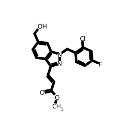 COC(=O)C=Cc1nn(Cc2ccc(F)cc2Cl)c2cc(CO)ccc12